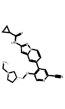 CCN1CC[C@@H](COc2cnc(C#N)cc2-c2ccn3nc(NC(=O)C4CC4)cc3c2)C1